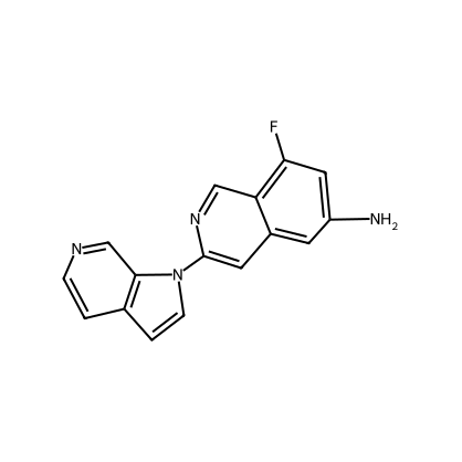 Nc1cc(F)c2cnc(-n3ccc4ccncc43)cc2c1